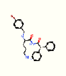 NCCCC(NCc1ccc(Br)cc1)C(=O)NC(=O)C(c1ccccc1)c1ccccc1